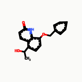 CC(O)c1ccc(OCc2ccccc2)c2[nH]c(=O)ccc12